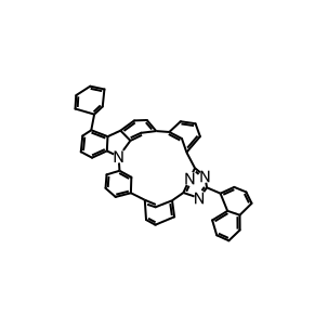 c1ccc(-c2cccc3c2c2ccc4cc2n3-c2cccc(c2)-c2cccc(c2)-c2nc(nc(-c3cccc5ccccc35)n2)-c2cccc-4c2)cc1